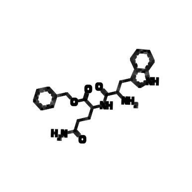 NC(=O)CCC(NC(=O)C(N)Cc1c[nH]c2ccccc12)C(=O)OCc1ccccc1